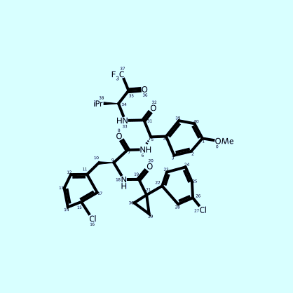 COc1ccc([C@H](NC(=O)[C@H](Cc2cccc(Cl)c2)NC(=O)C2(c3cccc(Cl)c3)CC2)C(=O)N[C@H](C(=O)C(F)(F)F)C(C)C)cc1